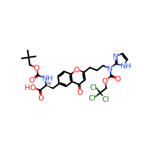 CC(C)(C)COC(=O)N[C@@H](Cc1ccc2oc(CCCN(C(=O)OCC(Cl)(Cl)Cl)c3ncc[nH]3)cc(=O)c2c1)C(=O)O